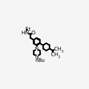 C=C(C)C1CCC(c2ccc(CC(=O)NCC)cc2N2CCN(CCCC)CC2)CC1